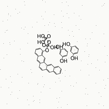 O=P(O)(O)OP(=O)(O)Oc1cccc2cc3ccc4cc5ccccc5cc4c3cc12.Oc1cccc(O)c1.Oc1cccc(O)c1